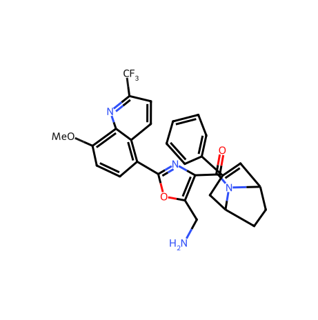 COc1ccc(-c2nc(C(=O)N3C4C=C(c5ccccc5)CC3CC4)c(CN)o2)c2ccc(C(F)(F)F)nc12